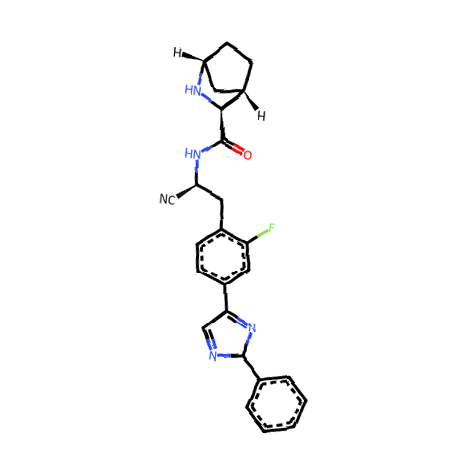 N#C[C@H](Cc1ccc(C2=NC(c3ccccc3)N=C2)cc1F)NC(=O)[C@H]1N[C@@H]2CC[C@H]1C2